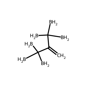 BC(B)(B)C(=C)C(B)(B)B